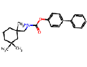 CC1(C)C[CH]CC(C)(CNC(=O)Oc2ccc(-c3ccccc3)cc2)C1